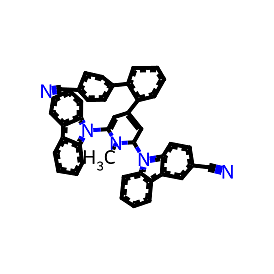 CN1C(n2c3ccccc3c3ccccc32)=CC(c2ccccc2-c2ccc(C#N)cc2)=CC1n1c2ccccc2c2cc(C#N)ccc21